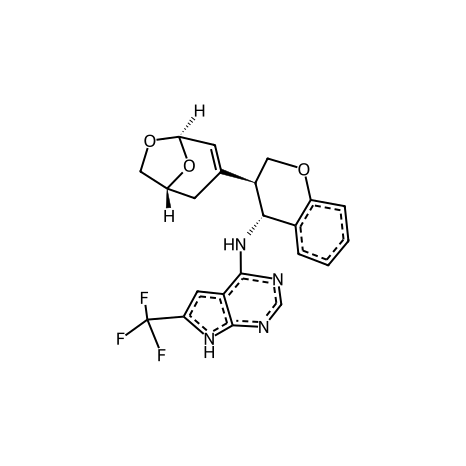 FC(F)(F)c1cc2c(N[C@H]3c4ccccc4OC[C@@H]3C3=C[C@@H]4OC[C@@H](C3)O4)ncnc2[nH]1